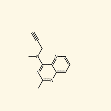 C#CCN(C)c1nc(C)nc2cccnc12